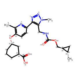 Cc1nc(-c2nnn(C)c2CNC(=O)OC[C@H]2C[C@@H]2C)ccc1O[C@H]1CCC[C@H](C(=O)O)C1